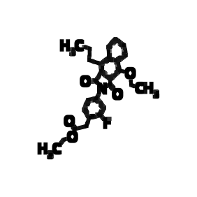 CCCc1c2c(c(OCC)c3ccccc13)C(=O)N(c1ccc(CC(=O)OCC)c(F)c1)C2=O